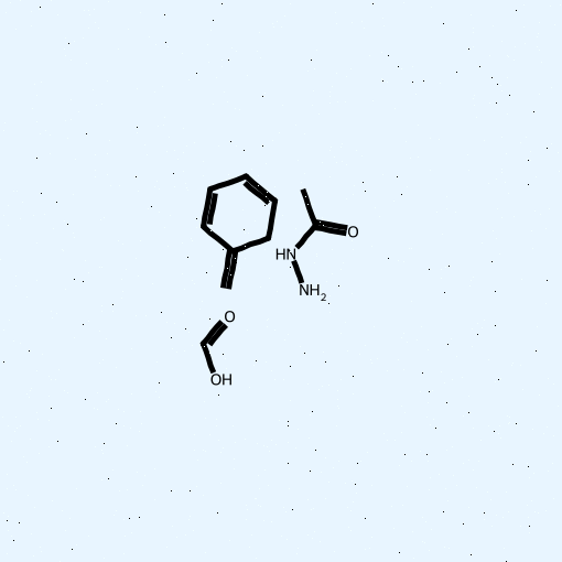 C=C1C=CC=CC1.CC(=O)NN.O=CO